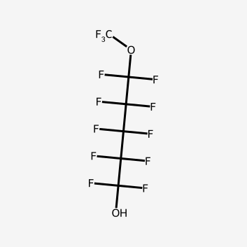 OC(F)(F)C(F)(F)C(F)(F)C(F)(F)C(F)(F)OC(F)(F)F